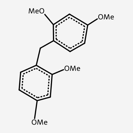 COc1ccc(Cc2ccc(OC)cc2OC)c(OC)c1